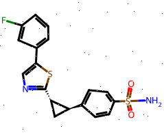 NS(=O)(=O)c1ccc([C@H]2C[C@@H]2c2ncc(-c3cccc(F)c3)s2)cc1